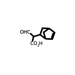 O=CC(C(=O)O)C1CC2C=CC1C2